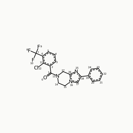 O=C(c1cccc(C(F)(F)F)c1Cl)N1CCn2cc(-c3ccccc3)nc2C1